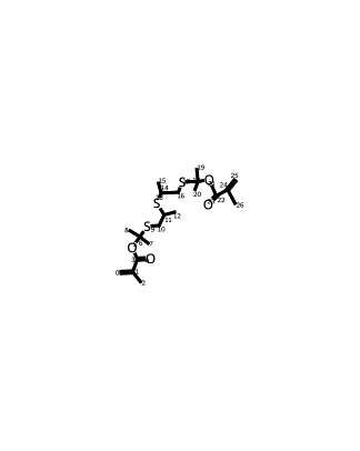 C=C(C)C(=O)OC(C)(C)SCC(C)SC(C)CSC(C)(C)OC(=O)C(=C)C